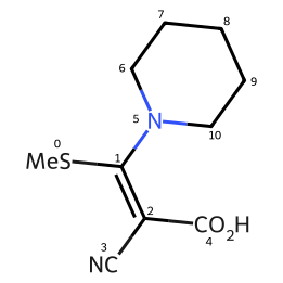 CS/C(=C(\C#N)C(=O)O)N1CCCCC1